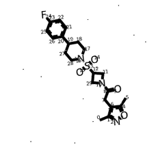 Cc1noc(C)c1CC(=O)N1CC(S(=O)(=O)N2CCC(c3ccc(F)cc3)CC2)C1